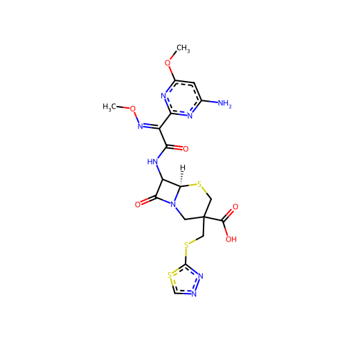 CON=C(C(=O)NC1C(=O)N2CC(CSc3nncs3)(C(=O)O)CS[C@H]12)c1nc(N)cc(OC)n1